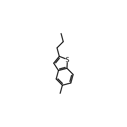 CCCc1cc2cc(C)ccc2s1